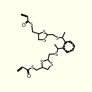 C=CC(=O)SCC1CSC(CSC(C)c2ccccc2C(C)SCC2SCC(CSC(=O)C=C)S2)S1